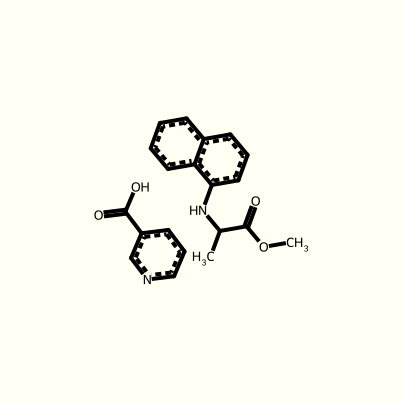 COC(=O)C(C)Nc1cccc2ccccc12.O=C(O)c1cccnc1